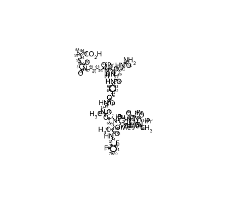 CC[C@H](C)C([C@@H](CC(=O)N1C[C@@H](OC(=O)N(C)CCNC(=O)OCc2ccc(NC(=O)C(CCCNC(N)=O)NC(=O)[C@@H](NC(=O)CCCCCN3C(=O)CC(SCC4(CC(=O)O)CC4)C3=O)C(C)C)cc2)C[C@H]1[C@H](OC)[C@@H](C)C(=O)NCCc1c(F)cccc1F)OC)N(C)C(=O)[C@@H](NC(=O)[C@H](C(C)C)N(C)C)C(C)C